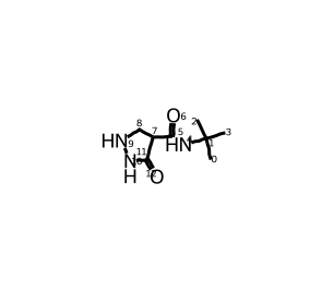 CC(C)(C)NC(=O)C1CNNC1=O